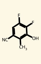 Cc1c(C#N)cc(F)c(F)c1O